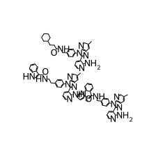 Cc1cnc2c(c1)nc(-c1cccnc1N)n2-c1ccc(CCNC(=O)c2c[nH]c3ccccc23)cc1.Cc1cnc2c(c1)nc(-c1cccnc1N)n2-c1ccc(CNC(=O)CCC2CCCCC2)cc1.Cc1cnc2c(c1)nc(-c1cccnc1N)n2-c1ccc(CNC(=O)c2ccccc2-n2cccc2)cc1